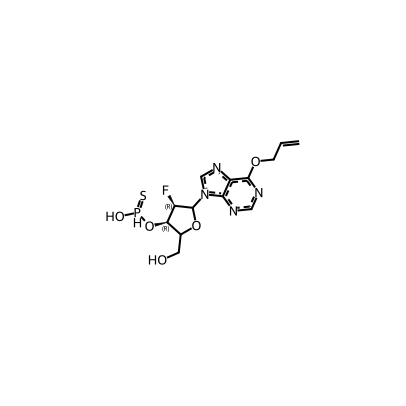 C=CCOc1ncnc2c1ncn2C1OC(CO)[C@@H](O[PH](O)=S)[C@H]1F